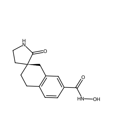 O=C(NO)c1ccc2c(c1)C[C@]1(CCNC1=O)CC2